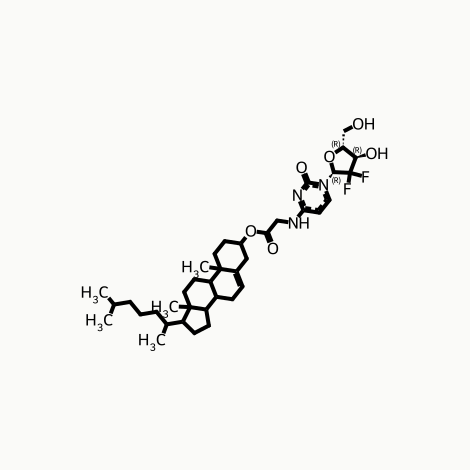 CC(C)CCCC(C)C1CCC2C3CC=C4CC(OC(=O)CNc5ccn([C@@H]6O[C@H](CO)[C@@H](O)C6(F)F)c(=O)n5)CCC4(C)C3CCC12C